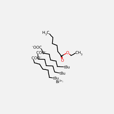 CC(C)(C)CCCCCC(=O)[O-].CC(C)(C)CCCCCC(=O)[O-].CC(C)(C)CCCCCC(=O)[O-].CCCCCC(=O)OCC.[Bi+3]